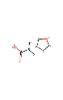 C1CCOC1.CC(C)C(=O)O